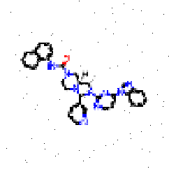 C[C@H]1[C@@H]2CN(C(=O)Nc3cccc4ccccc34)CCN2C(c2cccnc2)N1c1nccc(-n2cnc3ccccc32)n1